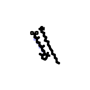 CC1=C(/C=C/C(C)=C/C=C/C(C)=C/C(=O)[O-])C(C)(C)CCC1.CCCCCCCCCCCCCCCC[N+](C)(C)C